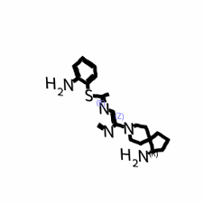 C=N/C(=C\N=C(/C)Sc1ccccc1N)N1CCC2(CCC[C@H]2N)CC1